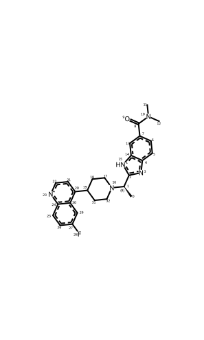 C[C@H](c1nc2ccc(C(=O)N(C)C)cc2[nH]1)N1CCC(c2ccnc3ccc(F)cc23)CC1